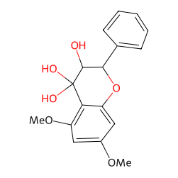 COc1cc(OC)c2c(c1)OC(c1ccccc1)C(O)C2(O)O